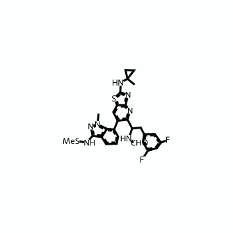 CSNc1nn(C)c2c(-c3cc4sc(NC5(C)CC5)nc4nc3C(Cc3cc(F)cc(F)c3)NC=O)cccc12